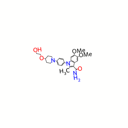 COc1cc2c(C(N)=O)c(C)n(-c3ccc(N4CCC(OCCO)CC4)cc3)c2cc1OC